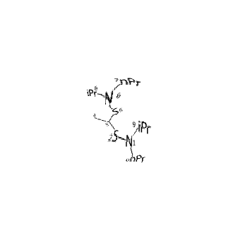 CCCN(SC(C)SN(CCC)C(C)C)C(C)C